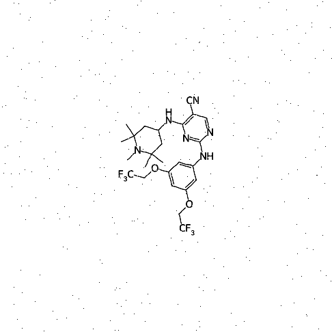 CN1C(C)(C)CC(Nc2nc(Nc3cc(OCC(F)(F)F)cc(OCC(F)(F)F)c3)ncc2C#N)CC1(C)C